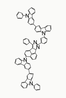 c1ccc(-c2nc(-c3cccc(-n4c5ccccc5c5cc(-c6ccc7c(c6)c6ccccc6n7-c6ccccc6)ccc54)c3)nc3c2-c2ccc(-n4c5ccccc5c5cc(-c6ccc7c(c6)c6ccccc6n7-c6ccccc6)ccc54)c4cccc-3c24)cc1